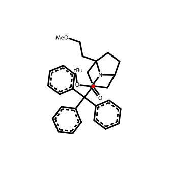 COCCC12CCC(CN(C(c3ccccc3)(c3ccccc3)c3ccccc3)C1)N2C(=O)OC(C)(C)C